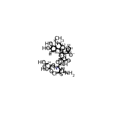 CCn1cc(C[N+]2(CC3=C(C(=O)[O-])N4C(=O)[C@@H](NC(=O)/C(=N\O[C@@H](CC(=O)O)C(=O)O)c5nc(N)sc5Cl)[C@H]4SC3)CCCC2)c(=O)c2cc(F)c(O)c(O)c21